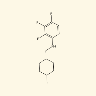 CC1CCC(CNc2ccc(F)c(F)c2F)CC1